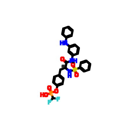 O=C(Nc1cccc(Nc2ccccc2)c1)[C@H](Cc1ccc(OP(=O)(O)C(F)F)cc1)NS(=O)(=O)c1ccccc1